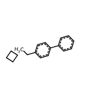 C1CCC1.CCc1ccc(-c2ccccc2)cc1